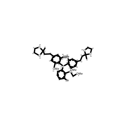 COCOc1c(Br)cccc1P(c1c(OC)cc(CCC2(C)OCCO2)cc1OC)c1c(OC)cc(CCC2(C)OCCO2)cc1OC